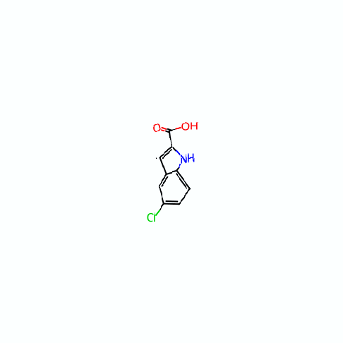 O=C(O)c1[c]c2cc(Cl)ccc2[nH]1